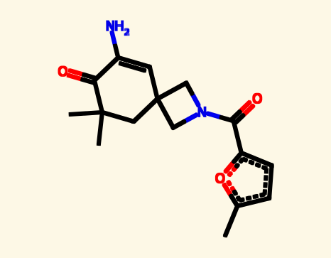 Cc1ccc(C(=O)N2CC3(C=C(N)C(=O)C(C)(C)C3)C2)o1